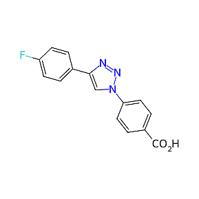 O=C(O)c1ccc(-n2cc(-c3ccc(F)cc3)nn2)cc1